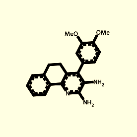 COc1ccc(-c2c(N)c(N)nc3c2CCc2ccccc2-3)cc1OC